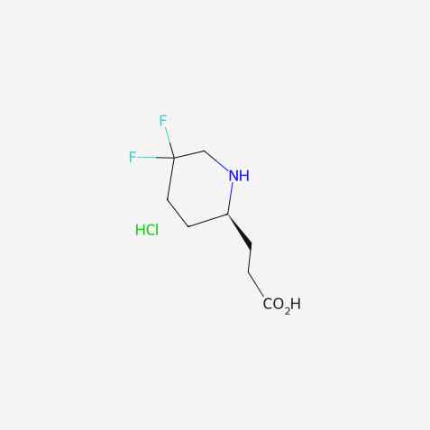 Cl.O=C(O)CC[C@H]1CCC(F)(F)CN1